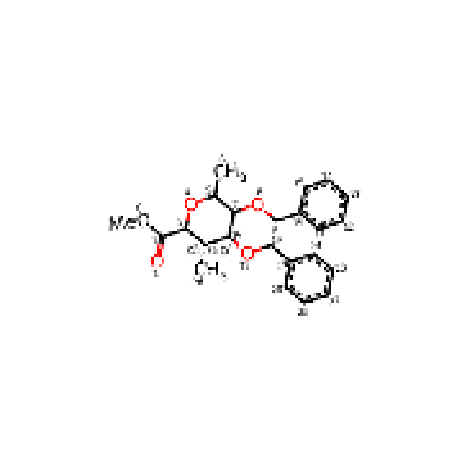 COC(=O)C1OC(C)C(OCc2ccccc2)[C@@H](OCc2ccccc2)[C@@H]1C